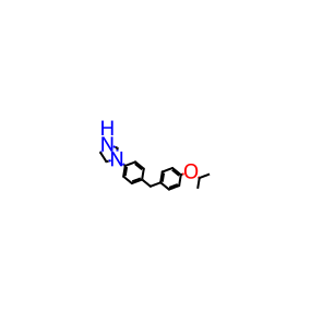 CC(C)Oc1ccc(Cc2ccc(N3CCNC3)cc2)cc1